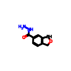 NNC(=O)c1ccc2c(c1)BOC2